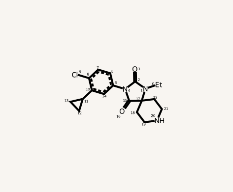 CCN1C(=O)N(c2ccc(Cl)c(C3CC3)c2)C(=O)C12CCNCC2